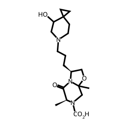 C[C@H]1C(=O)N2[C@@H](CCCN3CCC4(CC4)C(O)C3)COC2(C)CN1C(=O)O